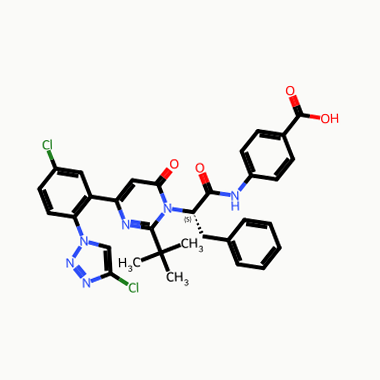 CC(C)(C)c1nc(-c2cc(Cl)ccc2-n2cc(Cl)nn2)cc(=O)n1[C@@H](Cc1ccccc1)C(=O)Nc1ccc(C(=O)O)cc1